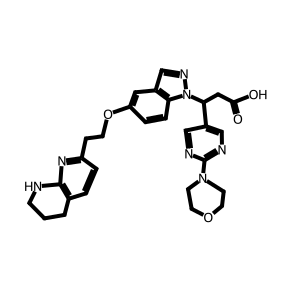 O=C(O)CC(c1cnc(N2CCOCC2)nc1)n1ncc2cc(OCCc3ccc4c(n3)NCCC4)ccc21